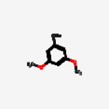 COc1cc(OC(F)(F)F)cc(OC(F)(F)F)c1